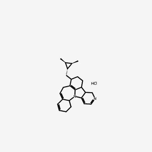 C[C@@H]1[C@H](C)[C@H]1CC1CCC2C3=C1CC=C1C=CCCC1N3C1=CC=NCC12.Cl